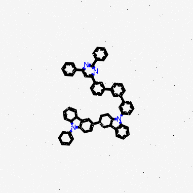 C1=CCCC(N2C3CC=C(C4CCC5C(C4)c4ccccc4N5c4cccc(-c5cccc(-c6cccc(-c7cc(-c8ccccc8)nc(-c8ccccc8)n7)c6)c5)c4)C=C3C3C=CC=CC32)=C1